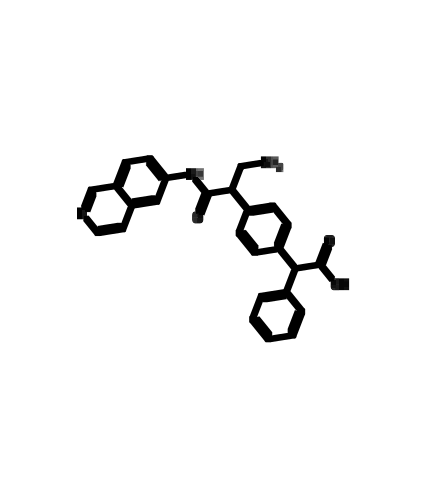 NCC(C(=O)Nc1ccc2cnccc2c1)c1ccc(C(C(=O)O)c2ccccc2)cc1